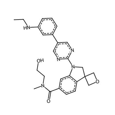 CCNc1cccc(-c2cnc(N3CC4(COC4)c4ccc(C(=O)N(C)CCO)cc43)nc2)c1